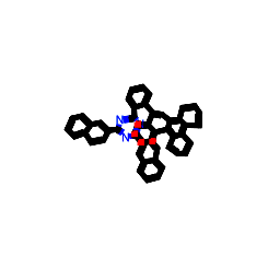 c1ccc(-c2cc3c4ccccc4c4ccccc4c3c3ccccc23)c(-c2nc(-c3ccc4ccccc4c3)nc(-c3ccc4ccccc4c3)n2)c1